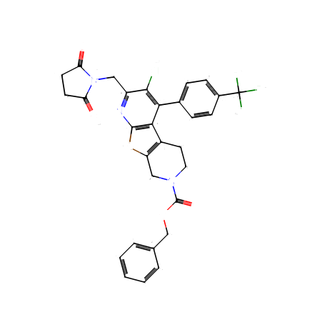 O=C(OCc1ccccc1)N1CCc2c(sc3nc(CN4C(=O)CCC4=O)c(Cl)c(-c4ccc(C(F)(F)F)cc4)c23)C1